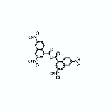 O=C(OC(=O)c1cc([N+](=O)[O-])cc2cc([N+](=O)[O-])ccc12)c1cc([N+](=O)[O-])cc2cc([N+](=O)[O-])ccc12